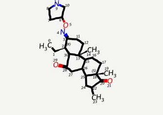 CC[C@H]1C(=NOC2CCNC2)CC[C@]2(C)C3CC[C@]4(C)C(=O)C(C)CC4C3CC(=O)C12